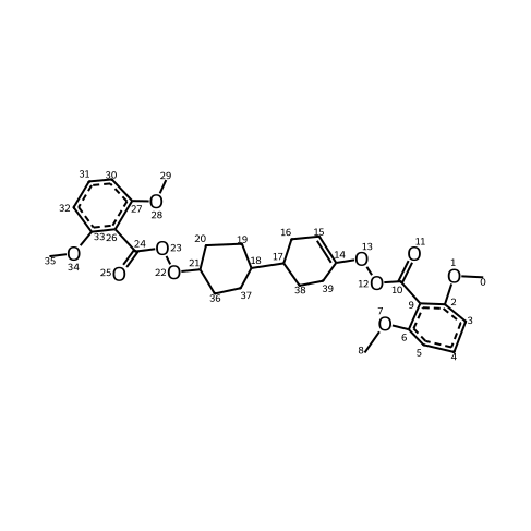 COc1cccc(OC)c1C(=O)OOC1=CCC(C2CCC(OOC(=O)c3c(OC)cccc3OC)CC2)CC1